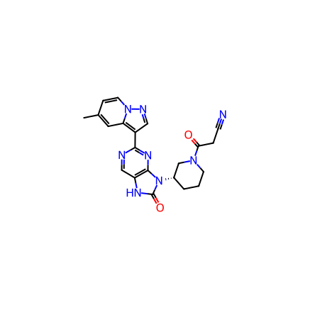 Cc1ccn2ncc(-c3ncc4[nH]c(=O)n([C@H]5CCCN(C(=O)CC#N)C5)c4n3)c2c1